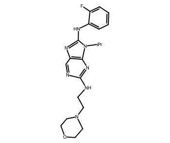 CC(C)n1c(Nc2ccccc2F)nc2cnc(NCCN3CCOCC3)nc21